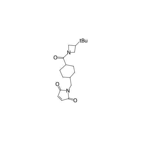 CC(C)(C)C1CN(C(=O)C2CCC(CN3C(=O)C=CC3=O)CC2)C1